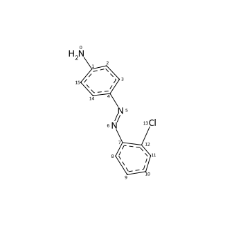 Nc1ccc(N=Nc2ccccc2Cl)cc1